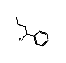 CCC[C@H](O)c1ccncc1